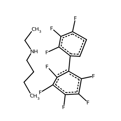 CCCCNCC.Fc1ccc(-c2c(F)c(F)c(F)c(F)c2F)c(F)c1F